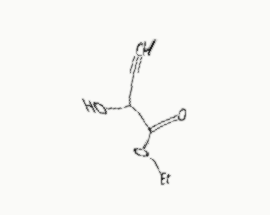 C#CC(O)C(=O)OCC